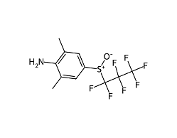 Cc1cc([S+]([O-])C(F)(F)C(F)(F)C(F)(F)F)cc(C)c1N